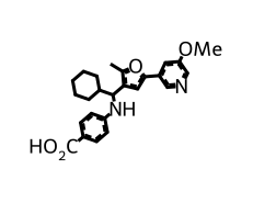 COc1cncc(-c2cc(C(Nc3ccc(C(=O)O)cc3)C3CCCCC3)c(C)o2)c1